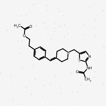 CC(=O)Nc1ncc(CN2CCC(=Cc3ccc(CCOC(C)=O)cc3)CC2)s1